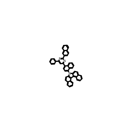 c1ccc2cc(-c3nc(-c4ccccc4)cc(-c4ccc(-n5c6ccc7ccccc7c6c6c7ccccc7ccc65)c5ccccc45)n3)ccc2c#1